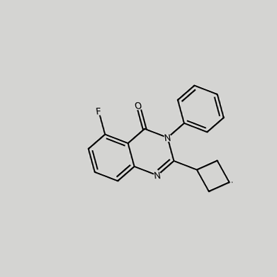 O=c1c2c(F)cccc2nc(C2C[CH]C2)n1-c1ccccc1